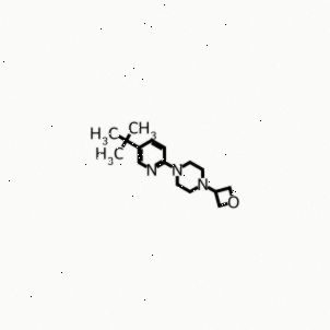 CC(C)(C)c1ccc(N2CCN(C3COC3)CC2)nc1